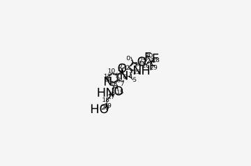 Cc1cc(C(C)N2Cc3c(ccnc3C(=O)NCCCO)C2=O)[nH]c1OCC(F)(F)F